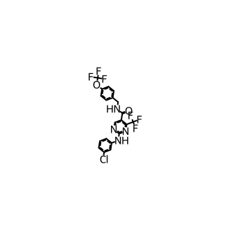 O=C(NCc1ccc(OC(F)(F)F)cc1)c1cnc(Nc2cccc(Cl)c2)nc1C(F)(F)F